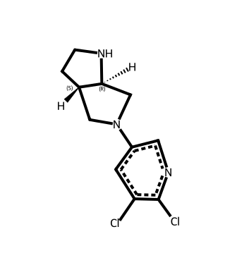 Clc1cc(N2C[C@@H]3CCN[C@H]3C2)cnc1Cl